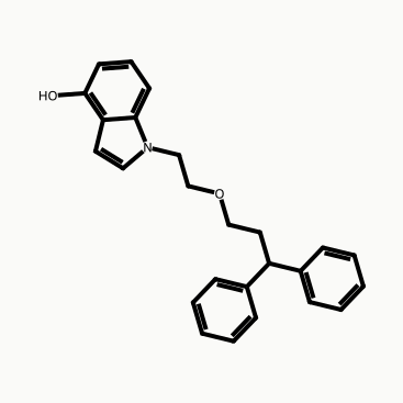 Oc1cccc2c1ccn2CCOCCC(c1ccccc1)c1ccccc1